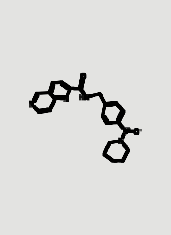 O=C(NCc1ccc([S+]([O-])N2CCCCC2)cc1)c1ccc2cnccc2n1